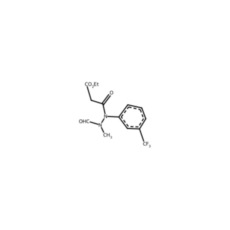 CCOC(=O)CC(=O)N(c1cccc(C(F)(F)F)c1)N(C)C=O